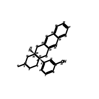 CN1CC[C@]2(c3cccc(O)c3)Cc3nc4ccccc4cc3C[C@@H]2C1